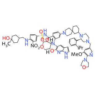 COc1cc(CN2CCN([C@@H]3CCCC4(CCN(c5ccc(C(=O)NS(=O)(=O)c6ccc(NCC7CCC(C)(O)CC7)c([N+](=O)[O-])c6)c(N6c7cc8cc[nH]c8nc7O[C@H]7COCC[C@@H]76)c5)CC4)C3)[C@H](c3ccccc3C(C)C)C2)cnc1N1CCOCC1